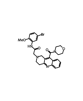 COc1ccc(Br)cc1NC(=O)CN1CCc2nc3ccccc3c(C(=O)N3CCOCC3)c2C1